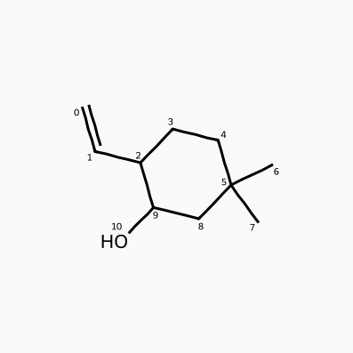 C=CC1CCC(C)(C)CC1O